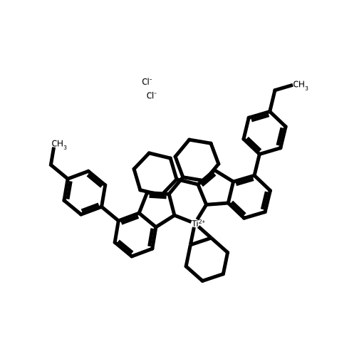 CCc1ccc(-c2cccc3c2C=C(C2CCCCC2)[CH]3[Ti+2]2([CH]3C(C4CCCCC4)=Cc4c(-c5ccc(CC)cc5)cccc43)[CH]3CCCC[CH]32)cc1.[Cl-].[Cl-]